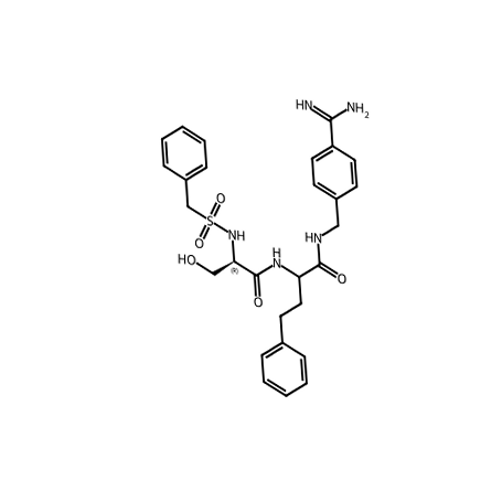 N=C(N)c1ccc(CNC(=O)C(CCc2ccccc2)NC(=O)[C@@H](CO)NS(=O)(=O)Cc2ccccc2)cc1